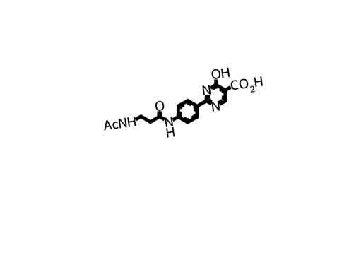 CC(=O)NCCC(=O)Nc1ccc(-c2ncc(C(=O)O)c(O)n2)cc1